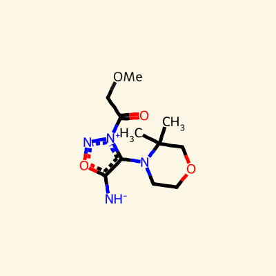 COCC(=O)[n+]1noc([NH-])c1N1CCOCC1(C)C